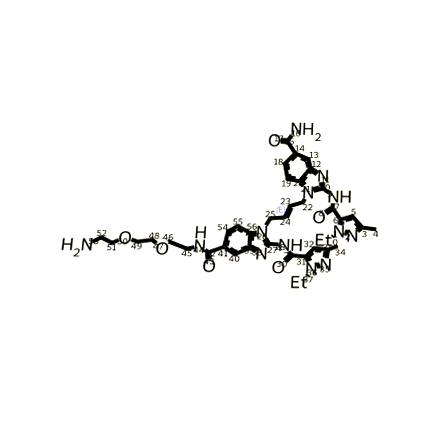 CCn1nc(C)cc1C(=O)Nc1nc2cc(C(N)=O)ccc2n1C/C=C/Cn1c(NC(=O)c2cc(C)nn2CC)nc2cc(C(=O)NCCOCCOCCN)ccc21